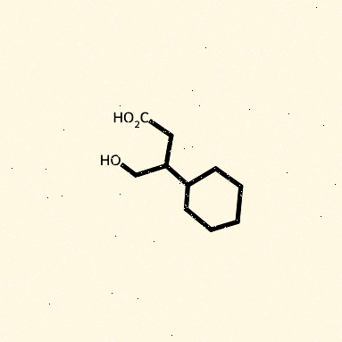 O=C(O)CC(CO)C1CCCCC1